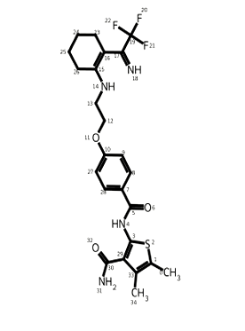 Cc1sc(NC(=O)c2ccc(OCCNC3=C(C(=N)C(F)(F)F)CCCC3)cc2)c(C(N)=O)c1C